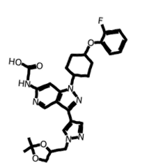 CC1(C)OCC(Cn2cc(-c3nn(C4CCC(Oc5ccccc5F)CC4)c4cc(NC(=O)O)ncc34)cn2)O1